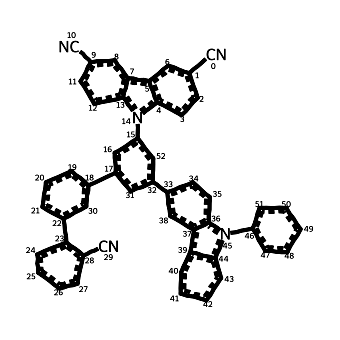 N#Cc1ccc2c(c1)c1cc(C#N)ccc1n2-c1cc(-c2cccc(-c3ccccc3C#N)c2)cc(-c2ccc3c(c2)c2ccccc2n3-c2ccccc2)c1